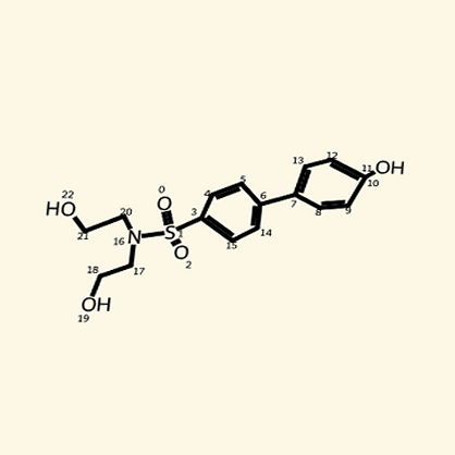 O=S(=O)(c1ccc(-c2ccc(O)cc2)cc1)N(CCO)CCO